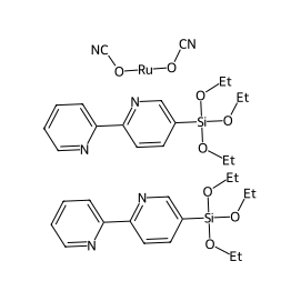 CCO[Si](OCC)(OCC)c1ccc(-c2ccccn2)nc1.CCO[Si](OCC)(OCC)c1ccc(-c2ccccn2)nc1.N#C[O][Ru][O]C#N